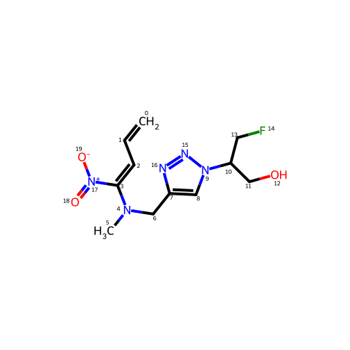 C=CC=C(N(C)Cc1cn(C(CO)CF)nn1)[N+](=O)[O-]